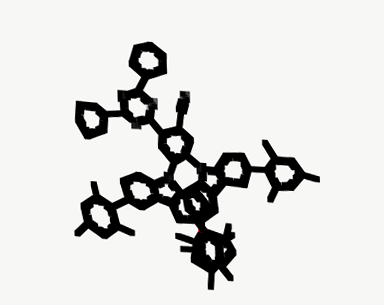 Cc1cc(C)c(-c2ccc3c(c2)c2cc(-c4c(C)cc(C)cc4C)ccc2n3-c2cc(C#N)c(-c3nc(-c4ccccc4)nc(-c4ccccc4)n3)cc2-n2c3ccc(-c4c(C)cc(C)cc4C)cc3c3cc(-c4c(C)cc(C)cc4C)ccc32)c(C)c1